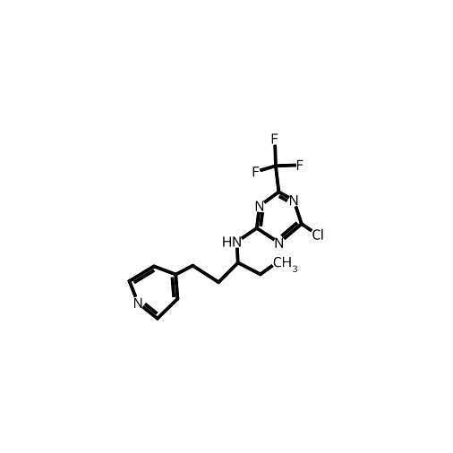 CCC(CCc1ccncc1)Nc1nc(Cl)nc(C(F)(F)F)n1